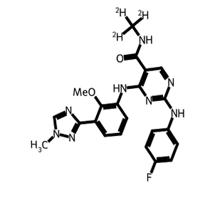 [2H]C([2H])([2H])NC(=O)c1cnc(Nc2ccc(F)cc2)nc1Nc1cccc(-c2ncn(C)n2)c1OC